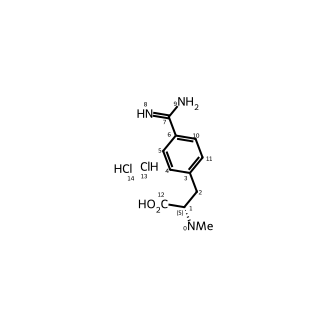 CN[C@@H](Cc1ccc(C(=N)N)cc1)C(=O)O.Cl.Cl